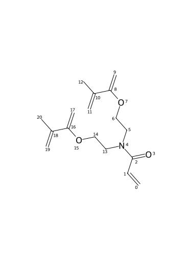 C=CC(=O)N(CCOC(=C)C(=C)C)CCOC(=C)C(=C)C